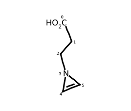 O=C(O)CCN1C=C1